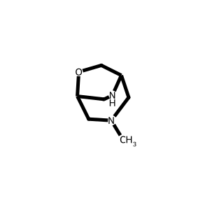 CN1CC2COC(CN2)C1